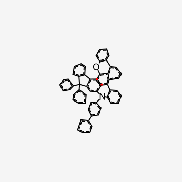 c1ccc(-c2ccc(N(c3ccc4c(c3)C(c3ccccc3)(c3ccccc3)c3ccccc3-4)c3ccccc3-c3ccc4c5c(cccc35)-c3ccccc3O4)cc2)cc1